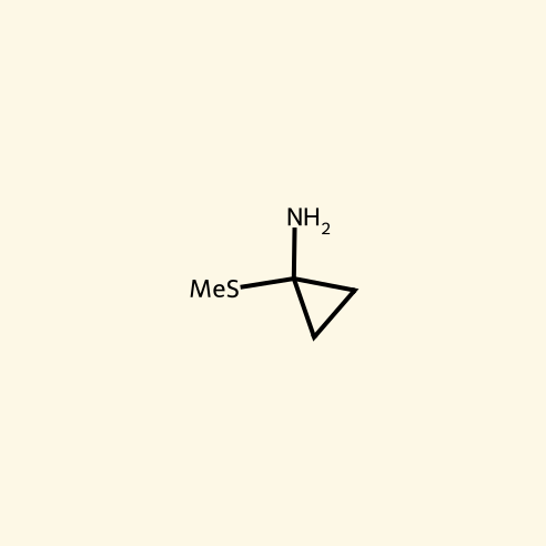 CSC1(N)CC1